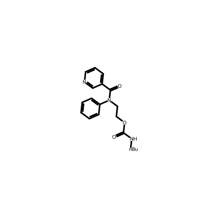 CCCCNC(=O)OCCN(C(=O)c1cccnc1)c1ccccc1